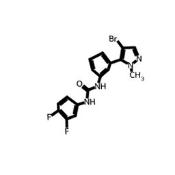 Cn1ncc(Br)c1-c1cccc(NC(=O)Nc2ccc(F)c(F)c2)c1